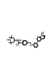 CC1(C)CC(NC(=O)c2ccc(COc3cccc(-c4cnc5[nH]ccc5c4)c3)cc2)CC(C)(C)N1